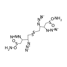 [N-]=[N+]=NC(CSSCC(N=[N+]=[N-])C(CS(=O)ON)N=[N+]=[N-])C(CS(=O)ON)N=[N+]=[N-]